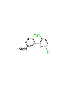 CNc1c[c]c(Cl)c(-c2cc(Cl)ccc2Cl)c1